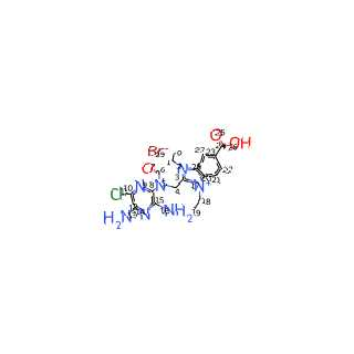 CCn1c(CN(C=O)c2nc(Cl)c(N)nc2N)[n+](CC)c2ccc(C(=O)O)cc21.[Br-]